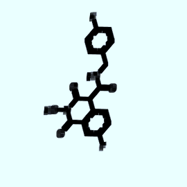 O=C(NCc1ccc(F)cc1)C1C(=O)N(O)C(=O)c2cc(F)ccc21